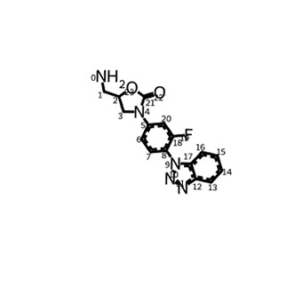 NCC1CN(c2ccc(-n3nnc4ccccc43)c(F)c2)C(=O)O1